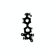 Nc1ccc(N2CCC3(CC2)NC(=O)NC3=O)cc1